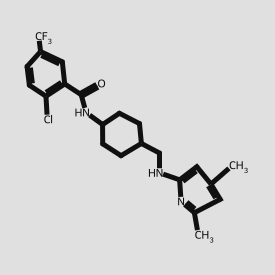 Cc1cc(C)nc(NCC2CCC(NC(=O)c3cc(C(F)(F)F)ccc3Cl)CC2)c1